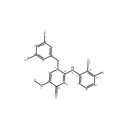 COc1cn(Cc2cc(F)cc(F)c2)c(Nc2cccc(C)c2Cl)nc1=O